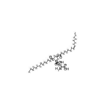 CCCCCCC/C=C\CCCCCCCC(=O)O[C@H](COC(=O)CCCCCCCCCCCCC)COP(=O)(O)OC[C@H](N)C(=O)O